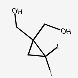 OCC1(CO)CC1(I)I